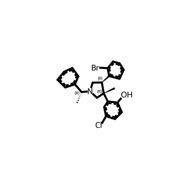 C[C@H](c1ccccc1)N1C[C@@H](c2ccccc2Br)[C@](C)(c2cc(Cl)ccc2O)C1